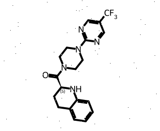 O=C([C@@H]1CCc2ccccc2N1)N1CCN(c2ncc(C(F)(F)F)cn2)CC1